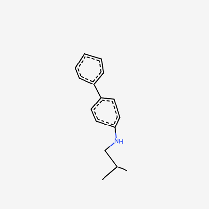 CC(C)CNc1ccc(-c2ccccc2)cc1